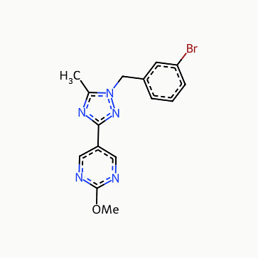 COc1ncc(-c2nc(C)n(Cc3cccc(Br)c3)n2)cn1